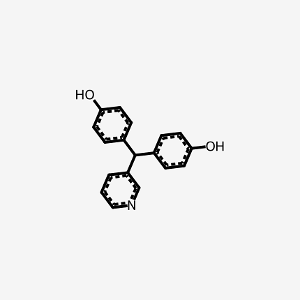 Oc1ccc(C(c2ccc(O)cc2)c2cccnc2)cc1